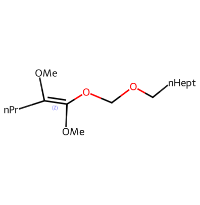 CCCCCCCCOCO/C(OC)=C(/CCC)OC